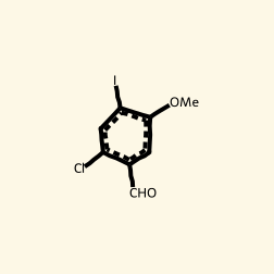 COc1cc(C=O)c(Cl)cc1I